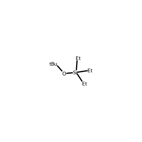 CC[Si](CC)(CC)OC(C)(C)C